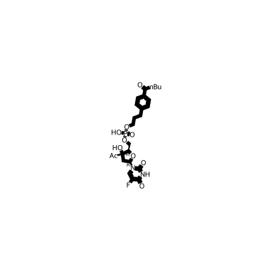 CCCCC(=O)c1ccc(CCCOP(=O)(O)OC[C@H]2O[C@@H](n3cc(F)c(=O)[nH]c3=O)C[C@@]2(O)C(C)=O)cc1